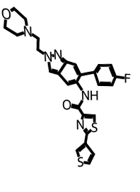 O=C(Nc1cc2cn(CCN3CCOCC3)nc2cc1-c1ccc(F)cc1)c1csc(-c2ccsc2)n1